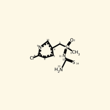 CS(=O)(Cc1ccc(Cl)nc1)=NC(N)=S